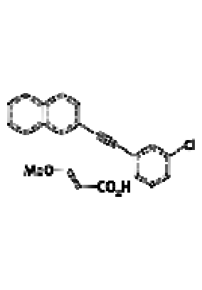 COC=CC(=O)O.Clc1cccc(C#Cc2ccc3ccccc3c2)c1